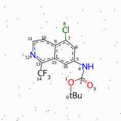 CC(C)(C)OC(=O)Nc1cc(Cl)c2ccnc(C(F)(F)F)c2c1